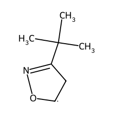 CC(C)(C)C1=NO[CH]C1